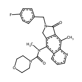 Cc1c2c(c(N(C)C(=O)N3CCOCC3)c3cccnc13)CN(Cc1ccc(F)cc1)C2=O